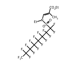 CCOC(=O)C(C)=CN(CC)S(=O)(=O)C(F)(F)C(F)(F)C(F)(F)C(F)(F)C(F)(F)C(F)(F)C(F)(F)C(F)(F)F